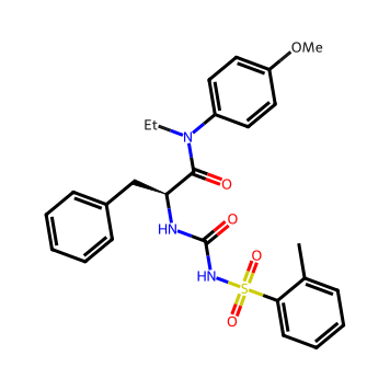 CCN(C(=O)[C@H](Cc1ccccc1)NC(=O)NS(=O)(=O)c1ccccc1C)c1ccc(OC)cc1